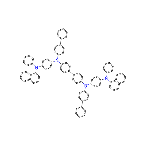 c1ccc(-c2ccc(N(c3ccc(-c4ccc(N(c5ccc(-c6ccccc6)cc5)c5ccc(N(c6ccccc6)c6cccc7ccccc67)cc5)cc4)cc3)c3ccc(N(c4ccccc4)c4cccc5ccccc45)cc3)cc2)cc1